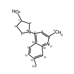 Cc1cc(N2CCC(O)C2)c2ccc(I)cc2n1